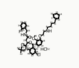 COc1c(OCCNCCCCc2ccccc2)cccc1[C@H]1O[C@H](CC(=O)NCc2ccccc2F)C(=O)N(CC(C)(C)C)c2ccc(Cl)cc21.Cl